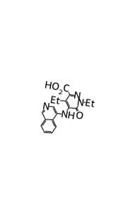 CCc1c(C(=O)O)nn(CC)c(=O)c1Nc1cncc2ccccc12